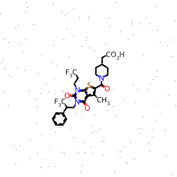 Cc1c(C(=O)N2CCC(CC(=O)O)CC2)sc2c1c(=O)n(CC(c1ccccc1)C(F)(F)F)c(=O)n2CCC(F)(F)F